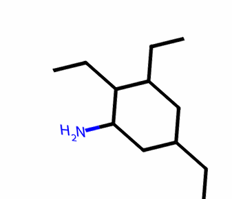 CCC1CC(N)C(CC)C(CC)C1